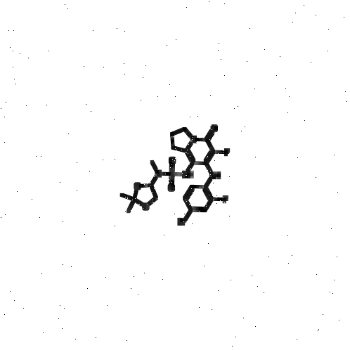 CN(C1COC(C)(C)O1)S(=O)(=O)Nc1c(Nc2ccc(Br)cc2F)c(F)c(=O)n2c1CCC2